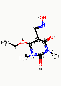 CCOc1c(C=NO)c(=O)n(C)c(=O)n1C